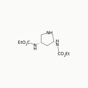 CCOC(=O)N[C@@H]1CNC[C@H](NC(=O)OCC)C1